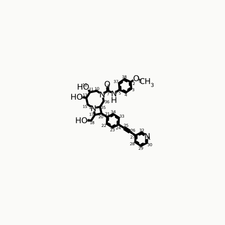 COc1ccc(NC(=O)N2CC(O)C(O)CN3C(CO)C(c4ccc(C#Cc5cccnc5)cc4)C3C2)cc1